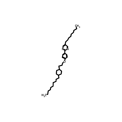 CCCCCCCCCCC1CCC(CCCOc2ccc(-c3ncc(CCCCCCCCC)cn3)cc2)CC1